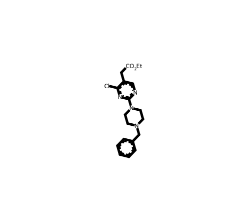 CCOC(=O)Cc1cnc(N2CCN(Cc3ccccc3)CC2)nc1Cl